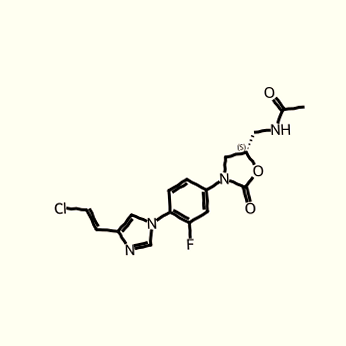 CC(=O)NC[C@H]1CN(c2ccc(-n3cnc(C=CCl)c3)c(F)c2)C(=O)O1